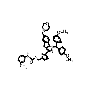 COc1ccc(C(c2ccc(OC)cc2)n2nc(-c3ccc(CNC(=O)Nc4cccc(C)c4)s3)c3c2-c2ccc(CN4CCOCC4)cc2C3)cc1